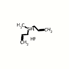 C=CC[SiH](C)CC=C.F